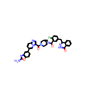 Nc1nc2cc(-c3ccc4ncc(C(=O)N5CC6CC(C5)N(C(=O)c5cc(Cc7n[nH]c(=O)c8ccccc78)ccc5F)C6)n4c3)ccc2o1